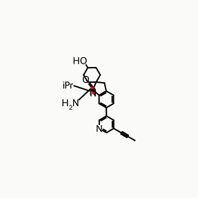 CC#Cc1cncc(-c2ccc3c(c2)C2(N=C(N)N(C(C)C)C2=O)C2(CCC(O)CC2)C3)c1